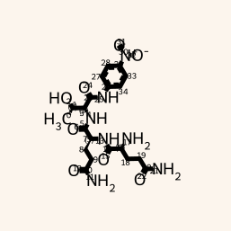 C[C@@H](O)[C@H](NC(=O)[C@H](CCC(N)=O)NC(=O)[C@@H](N)CCC(N)=O)C(=O)Nc1ccc([N+](=O)[O-])cc1